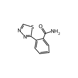 NC(=O)c1ccccc1-c1nncs1